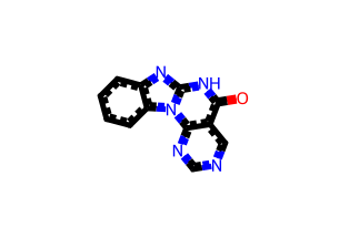 O=c1[nH]c2nc3ccccc3n2c2ncncc12